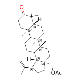 C=C(C)[C@@H]1CC[C@]2(COC(C)=O)CC[C@]3(C)C(CCC4[C@@]5(C)CCC(=O)C(C)(C)[C@@H]5CC[C@]43C)[C@@H]12